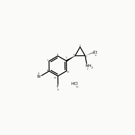 CC[C@@]1(N)C[C@@H]1c1ccc(Br)c(F)c1.Cl